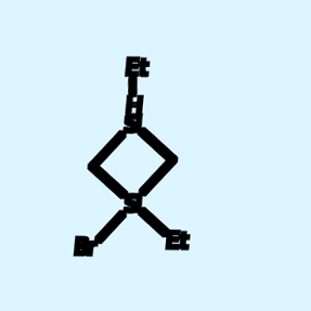 CC[SiH]1C[Si](Br)(CC)C1